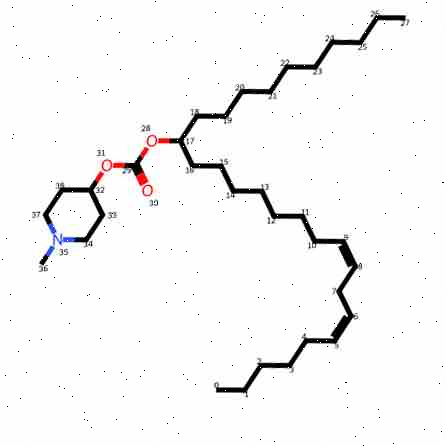 CCCCC/C=C\C/C=C\CCCCCCCC(CCCCCCCCCC)OC(=O)OC1CCN(C)CC1